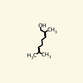 CC(C)=CCCC=C(C)CO